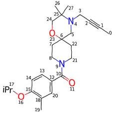 CC#CCN1CC2(CCN(C(=O)c3ccc(OC(C)C)c(C)c3)CC2)OCC1(C)C